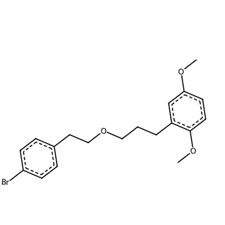 COc1ccc(OC)c(CCCOCCc2ccc(Br)cc2)c1